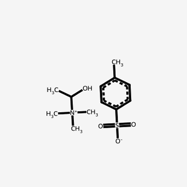 CC(O)[N+](C)(C)C.Cc1ccc(S(=O)(=O)[O-])cc1